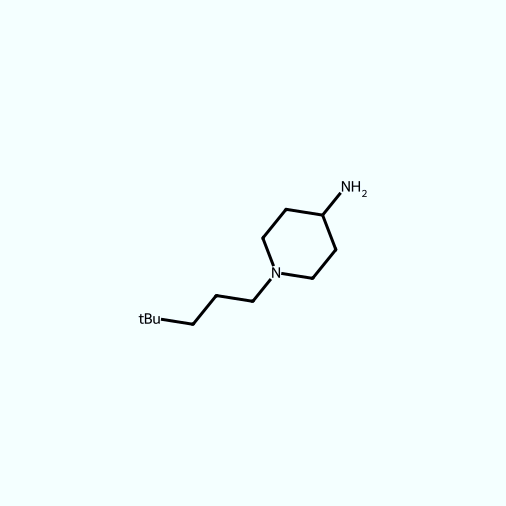 CC(C)(C)CCCN1CCC(N)CC1